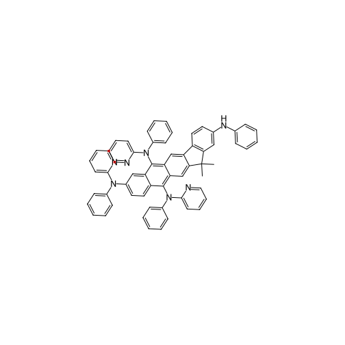 CC1(C)c2cc(Nc3ccccc3)ccc2-c2cc3c(N(c4ccccc4)c4ccccn4)c4cc(N(c5ccccc5)c5ccccn5)ccc4c(N(c4ccccc4)c4ccccn4)c3cc21